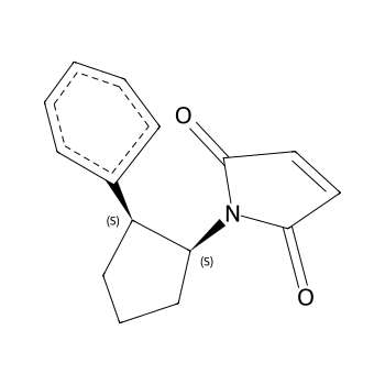 O=C1C=CC(=O)N1[C@H]1CCC[C@H]1c1ccccc1